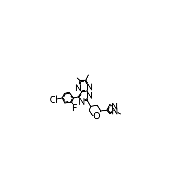 Cc1nc2nc(C3CCOC(c4cnn(C)c4)C3)nc(-c3ccc(Cl)cc3F)c2nc1C